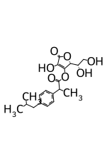 CC(C)Cc1ccc(C(C)C(=O)OC2=C(O)C(=O)O[C@@H]2[C@@H](O)CO)cc1